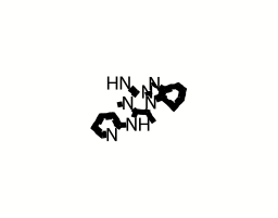 CC(C(Nc1ccccn1)N(C)C=N)n1nnc2ccccc21